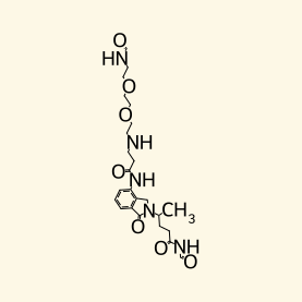 CC(CCC(=O)NC=O)N1Cc2c(NC(=O)CCNCCOCCOCCNC=O)cccc2C1=O